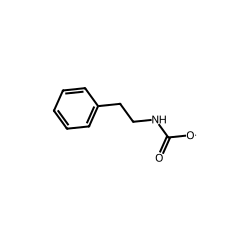 [O]C(=O)NCCc1ccccc1